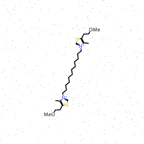 COCCc1sc[n+](CCCCCCCCCCCC[n+]2csc(CCOC)c2C)c1C